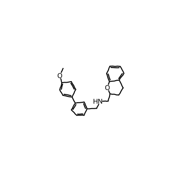 COc1ccc(-c2cccc(CNCC3CCc4ccccc4O3)c2)cc1